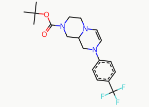 CC(C)(C)OC(=O)N1CCN2C=CN(c3ccc(C(F)(F)F)cc3)CC2C1